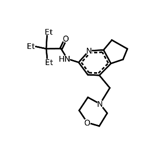 CCC(CC)(CC)C(=O)Nc1cc(CN2CCOCC2)c2c(n1)CCC2